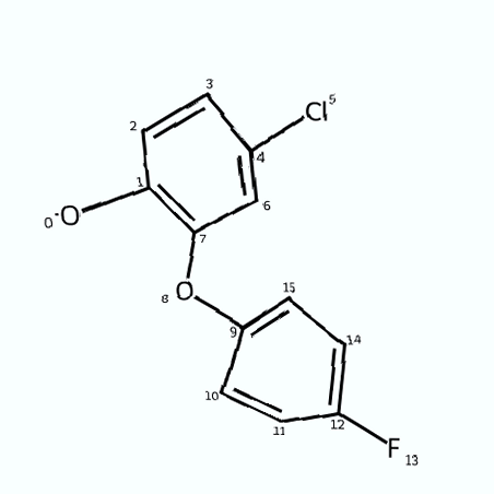 [O]c1ccc(Cl)cc1Oc1ccc(F)cc1